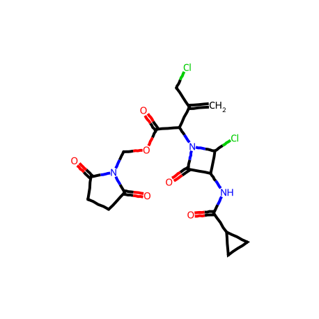 C=C(CCl)C(C(=O)OCN1C(=O)CCC1=O)N1C(=O)C(NC(=O)C2CC2)C1Cl